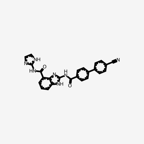 N#Cc1ccc(-c2ccc(C(=O)Nc3nc4c(C(=O)Nc5ncc[nH]5)cccc4[nH]3)cc2)cc1